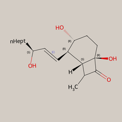 CCCCCCC[C@H](O)/C=C/[C@H]1[C@H](O)CC[C@]2(O)C(=O)C(C)[C@H]12